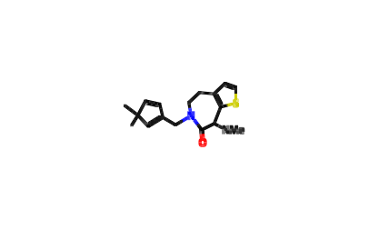 CNC1C(=O)N(CC2=CC(C)(C)C=C2)CCc2ccsc21